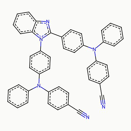 N#Cc1ccc(N(c2ccccc2)c2ccc(-c3nc4ccccc4n3-c3ccc(N(c4ccccc4)c4ccc(C#N)cc4)cc3)cc2)cc1